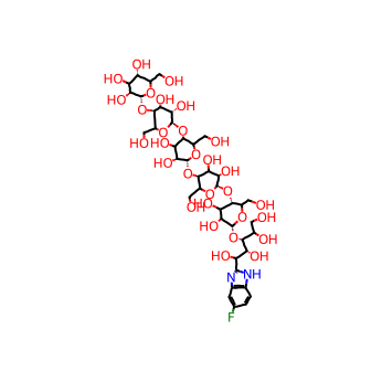 OCC1O[C@H](O[C@@H]2C(CO)O[C@H](O[C@@H]3C(CO)O[C@H](O[C@@H]4C(CO)O[C@H](O[C@@H]5C(CO)O[C@H](O[C@H](C(O)CO)[C@H](O)C(O)c6nc7cc(F)ccc7[nH]6)[C@@H](O)C5O)[C@@H](O)C4O)[C@@H](O)C3O)[C@@H](O)C2O)[C@@H](O)C(O)[C@@H]1O